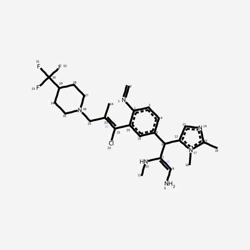 C=Nc1ccc(C(/C(=C/N)NC)c2cnc(C)n2C)cc1/C(Cl)=C(\C)CN1CCC(C(F)(F)F)CC1